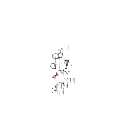 CCC(O)(CC)C(=O)N[C@H]1Cc2ccc3c(c2)C24c5cccc(c5NC2O3)-c2cccc3c2c(cn3CO)-c2cnc(o2)-c2nc(oc24)C(C(C)C)NC1=O